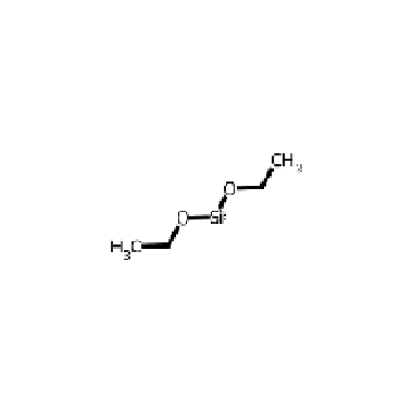 CCO[Si]OCC